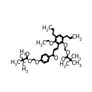 C=CCc1cc(CC=C)c(OCOC(=O)C(C)(C)C)c(C=CC(=O)c2ccc(OCOC(=O)C(C)(C)C)cc2)c1OCC